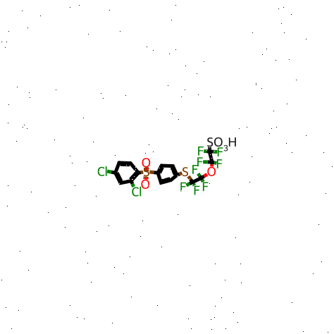 O=S(=O)(c1ccc(SC(F)(F)C(F)(F)OC(F)(F)C(F)(F)S(=O)(=O)O)cc1)c1ccc(Cl)cc1Cl